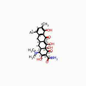 CC(=O)c1cc(C)c(O)c2c1CC1CC3C(N(C)C)C(O)=C(C(N)=O)C(=O)C3(O)C(O)=C1C2=O